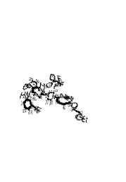 CCOCCOc1ccc(N2CCN(c3nc4c(c(Nc5cccc(F)c5)n3)[S+]([O-])CC4)CC2)nn1.O=C(O)C(F)(F)F